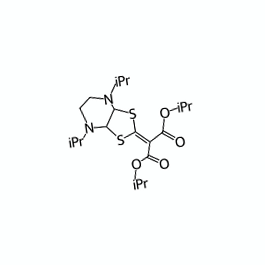 CC(C)OC(=O)C(C(=O)OC(C)C)=C1SC2C(S1)N(C(C)C)CCN2C(C)C